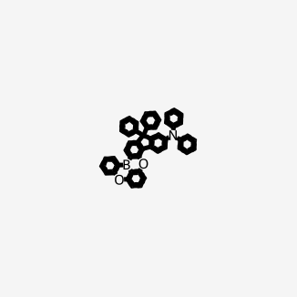 c1ccc(N(c2ccccc2)c2ccc3c(c2)C(c2ccccc2)(c2ccccc2)c2ccc4c(c2-3)Oc2cccc3c2B4c2ccccc2O3)cc1